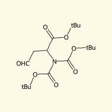 CC(C)(C)OC(=O)C(CC=O)N(C(=O)OC(C)(C)C)C(=O)OC(C)(C)C